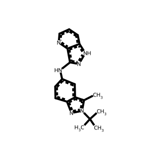 Cc1c2cc(Nc3n[nH]c4cccnc34)ccc2nn1C(C)(C)C